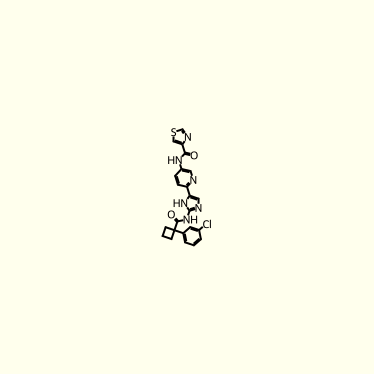 O=C(Nc1ccc(-c2cnc(NC(=O)C3(c4cccc(Cl)c4)CCC3)[nH]2)nc1)c1cscn1